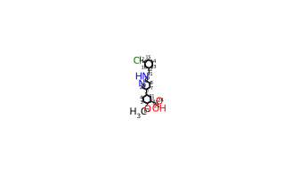 COc1ccc(-c2ccc(NCc3cccc(Cl)c3)nc2)cc1C(=O)O